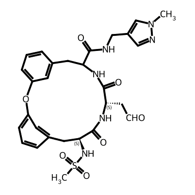 Cn1cc(CNC(=O)C2Cc3cccc(c3)Oc3cccc(c3)C[C@H](NS(C)(=O)=O)C(=O)N[C@@H](CC=O)C(=O)N2)cn1